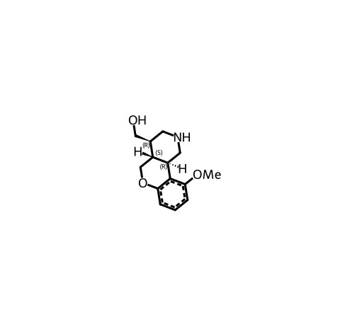 COc1cccc2c1[C@@H]1CNC[C@H](CO)[C@H]1CO2